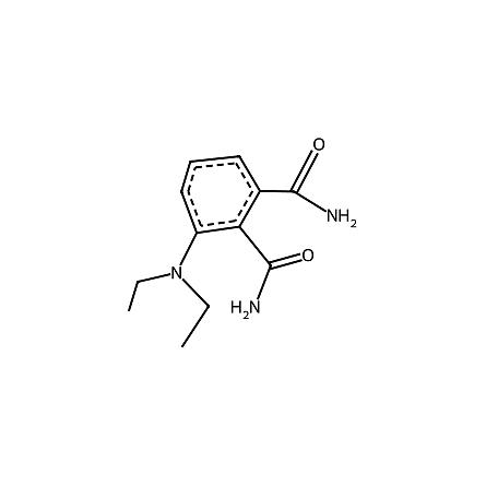 CCN(CC)c1cccc(C(N)=O)c1C(N)=O